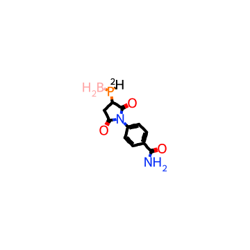 [2H]P(B)C1CC(=O)N(c2ccc(C(N)=O)cc2)C1=O